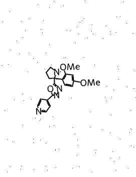 COc1ccc(C2(c3nnc(-c4ccncc4)o3)CCC[N]2)c(OC)c1